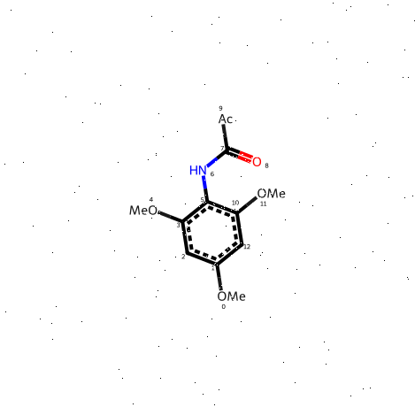 COc1cc(OC)c(NC(=O)C(C)=O)c(OC)c1